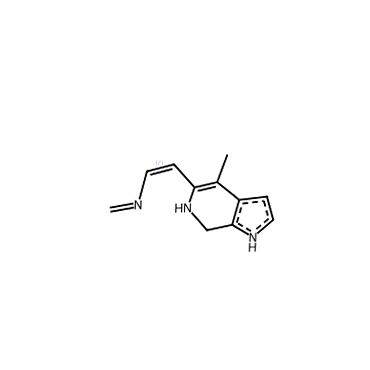 C=N/C=C\C1=C(C)c2cc[nH]c2CN1